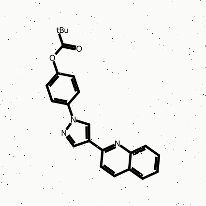 CC(C)(C)C(=O)Oc1ccc(-n2cc(-c3ccc4ccccc4n3)cn2)cc1